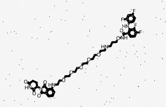 O=C1CCC(N2C(=O)c3cccc(NCCOCCOCCOCCOCCOCCNCCCONC(=O)c4ccc(F)c(F)c4Nc4ccc(F)cc4F)c3C2=O)C(=O)N1